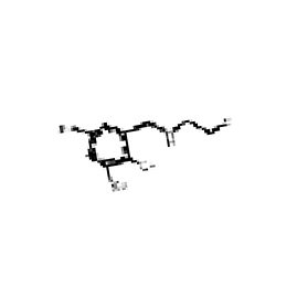 CC(C)(C)c1cc(CNCCCl)c(O)c(C(C)(C)C)c1